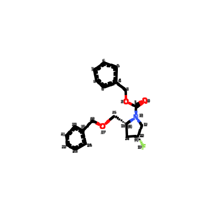 O=C(OCc1ccccc1)N1C[C@H](F)C[C@@H]1COCc1ccccc1